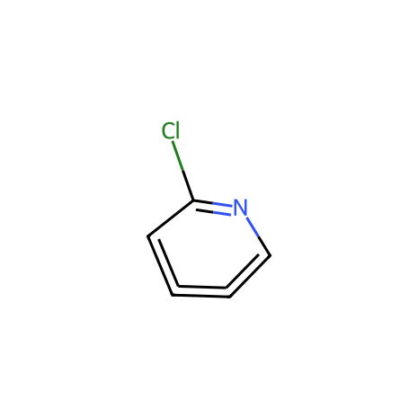 ClC1=NC=C=C=C1